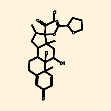 CC1CC2C3CCC4=CC(=O)C=CC4(C)C3(Cl)C(O)CC2(C)C1(OC(=O)C1CCCO1)C(=O)CCl